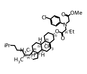 CC[C@H](C(=O)O[C@H]1CC[C@@]2(C)C(=CC[C@H]3[C@@H]4CC[C@H]([C@H](C)CCCC(C)C)[C@@]4(C)CC[C@@H]32)C1)N(CC(=O)OC)c1ccc(Cl)cc1